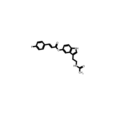 CC(=O)NCCc1c[nH]c2ccc(OC(=O)/C=C/c3ccc(F)cc3)cc12